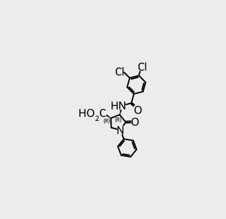 O=C(N[C@H]1C(=O)N(c2ccccc2)C[C@H]1C(=O)O)c1ccc(Cl)c(Cl)c1